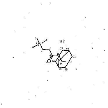 C[N+](C)(C)CCC(=O)C12CC3CC(CC(C3)C1)C2.[I-]